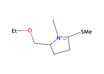 CCOCC1CCC(SC)=[N+]1C